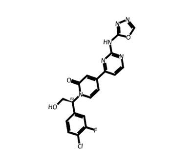 O=c1cc(-c2ccnc(Nc3nnco3)n2)ccn1[C@H](CO)c1ccc(Cl)c(F)c1